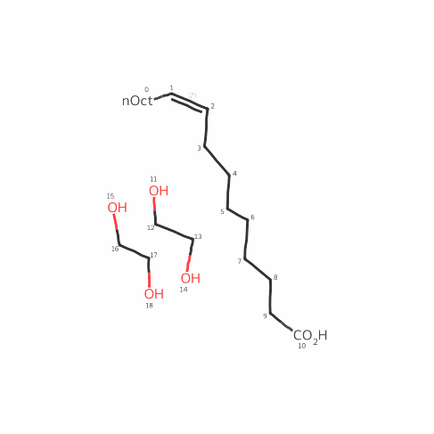 CCCCCCCC/C=C\CCCCCCCC(=O)O.OCCO.OCCO